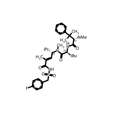 CN[C@H](C(=O)N[C@H](C(=O)N(C)[C@H](C=C(C)C(=O)NS(=O)(=O)Cc1ccc(F)cc1)C(C)C)C(C)(C)C)C(C)(C)c1ccccc1